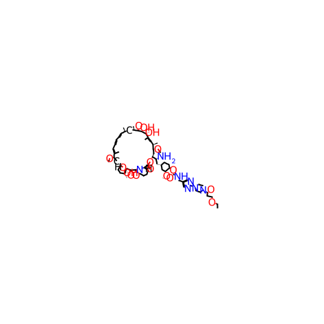 CCOCCC(=O)N1CCN(c2ncc(CNC(=O)O[C@@H]3CC[C@@H](C[C@@H](N)[C@@H]4C[C@@H](OC)[C@H](C)/C=C(\C)[C@@H](O)[C@@H](O)C(=O)[C@H](C)C[C@H](C)/C=C/C=C/C=C(\C)[C@@H](OC)C[C@@H]5CC[C@@H](C)[C@@](O)(O5)C(=O)C(=O)N5CCCC[C@H]5C(=O)O4)C[C@H]3OC)cn2)CC1